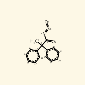 CC(C(=O)N=S=O)(c1ccccc1)c1ccccc1